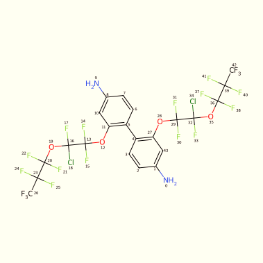 Nc1ccc(-c2ccc(N)cc2OC(F)(F)C(F)(Cl)OC(F)(F)C(F)(F)C(F)(F)F)c(OC(F)(F)C(F)(Cl)OC(F)(F)C(F)(F)C(F)(F)F)c1